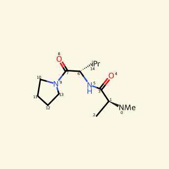 CN[C@@H](C)C(=O)N[C@H](C(=O)N1CCCC1)C(C)C